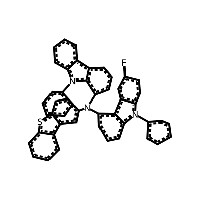 Fc1ccc2c(c1)c1c(N(c3ccc4sc5ccccc5c4c3)c3cccc4c5ccccc5n(-c5ccccc5)c34)cccc1n2-c1ccccc1